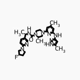 Cc1cc(Nc2cc(C)[nH]n2)nc(N2CCN(C(=O)N[C@@H](C)c3ccc(N4CC[C@H](F)C4)nc3)[C@@H](C)C2)c1